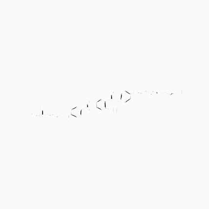 C=CCOOCCCOc1ccc(OC(=O)c2ccc(OC(=O)c3ccc(OCCCOC(=O)C=C)cc3)cc2C)cc1